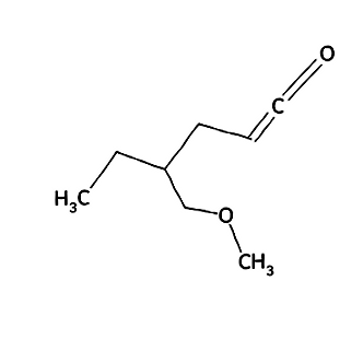 CCC(CC=C=O)COC